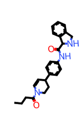 CCCC(=O)N1C=CC(c2ccc(NC(=O)C3NCc4ccccc43)cc2)CC1